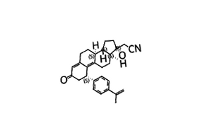 C=C(C)c1ccc([C@@H]2CC(=O)C=C3CC[C@@H]4C(=C32)CC[C@@]2(C)[C@H]4CC[C@@]2(O)CC#N)cc1